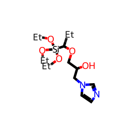 CCO[Si](OCC)(OCC)C(CC)OCC(O)Cn1ccnc1